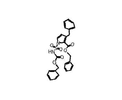 O=C(NS(=O)(=O)n1ccc(Cc2ccccc2)c1C(=O)OCc1ccccc1)OCc1ccccc1